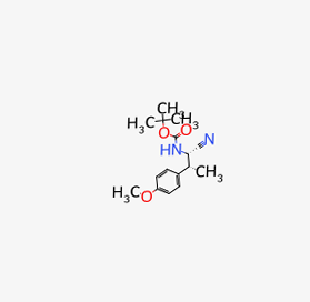 COc1ccc([C@@H](C)[C@@H](C#N)NC(=O)OC(C)(C)C)cc1